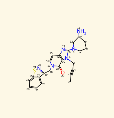 CC#CCn1c(N2CCCC(N)C2)nc2ccn(Cc3nsc4ccccc34)c(=O)c21